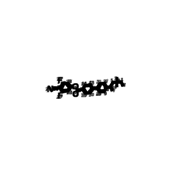 CCC(C)(C)CC(C)c1ccc(-c2ccc(C(=O)Oc3cc(F)c(C#N)c(F)c3)cc2)cc1